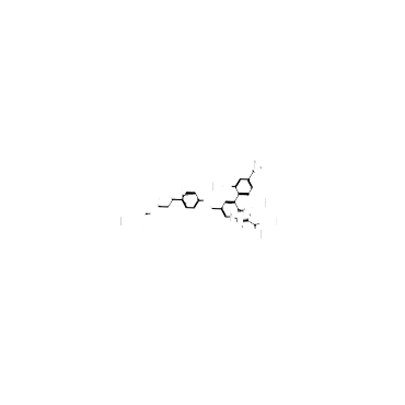 CCOC(=O)CC(C)c1ccc(OCc2cc(-c3c(C)cc(C#N)cc3C)c3nc(C(C)C)nn3c2)cc1